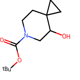 CC(C)(C)OC(=O)N1CCC2(CC2)C(O)C1